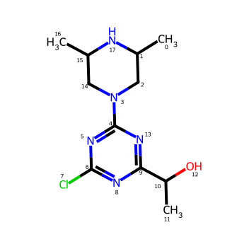 CC1CN(c2nc(Cl)nc(C(C)O)n2)CC(C)N1